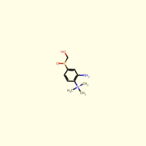 C[N+](C)(C)c1ccc([S+]([O-])CO)cc1N